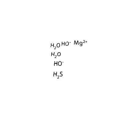 O.O.S.[Mg+2].[OH-].[OH-]